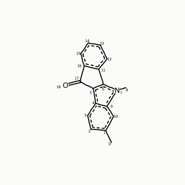 Cc1ccc2c3c(n(C)c2c1)-c1ccccc1C3=O